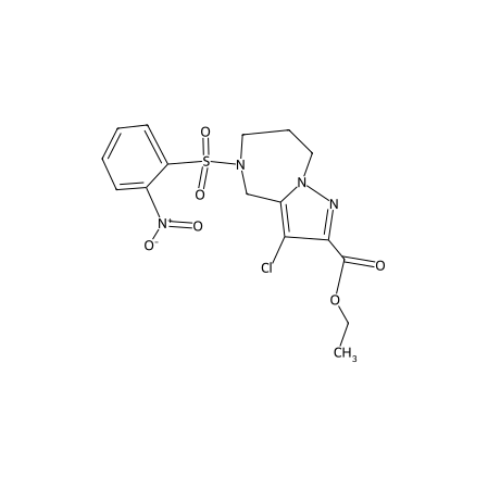 CCOC(=O)c1nn2c(c1Cl)CN(S(=O)(=O)c1ccccc1[N+](=O)[O-])CCC2